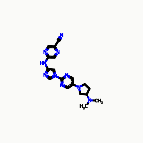 CN(C)[C@@H]1CCN(c2cnc(-n3cnc(Nc4cnc(C#N)cn4)c3)nc2)C1